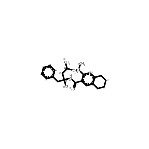 COc1nc2c(cc1C(=O)NC(C)(Cc1ccccc1)CC(C)C)CCCC2